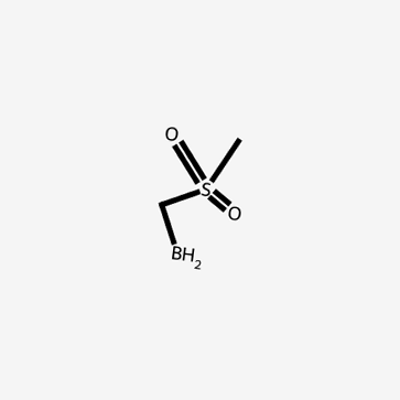 BCS(C)(=O)=O